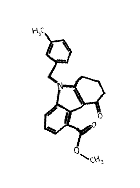 COC(=O)c1cccc2c1c1c(n2Cc2cccc(C)c2)CCCC1=O